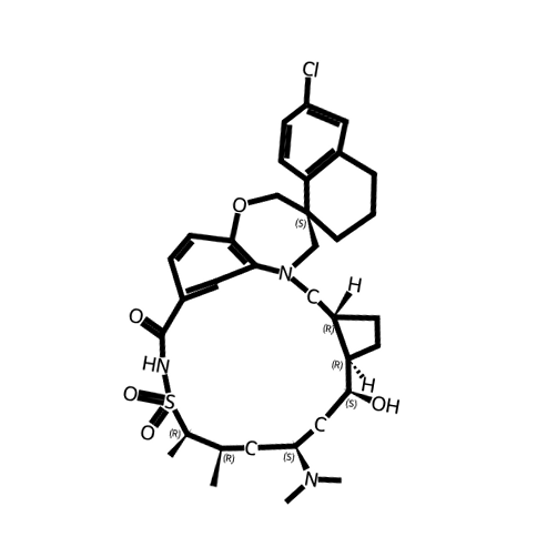 C[C@@H]1C[C@H](N(C)C)C[C@H](O)[C@@H]2CC[C@H]2CN2C[C@@]3(CCCc4cc(Cl)ccc43)COc3ccc(cc32)C(=O)NS(=O)(=O)[C@@H]1C